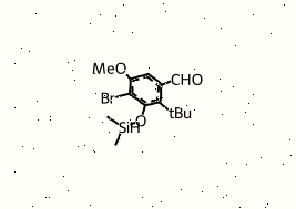 COc1cc(C=O)c(C(C)(C)C)c(O[SiH](C)C)c1Br